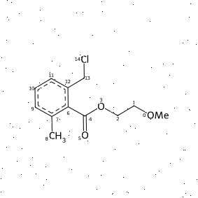 COCCOC(=O)c1c(C)cccc1CCl